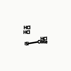 CO[Si].Cl.Cl.Cl